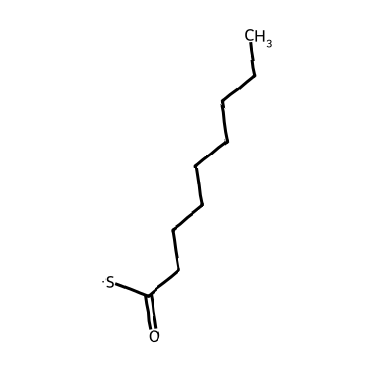 CCCCCCCCC(=O)[S]